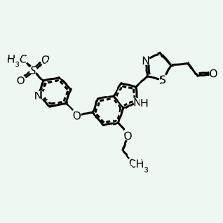 CCOc1cc(Oc2ccc(S(C)(=O)=O)nc2)cc2cc(C3=NCC(CC=O)S3)[nH]c12